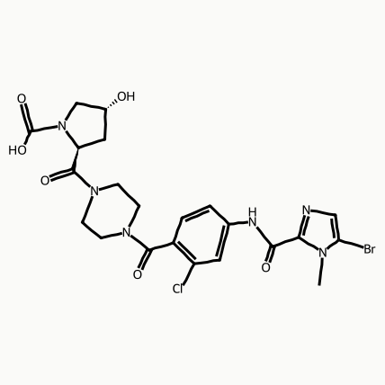 Cn1c(Br)cnc1C(=O)Nc1ccc(C(=O)N2CCN(C(=O)[C@@H]3C[C@@H](O)CN3C(=O)O)CC2)c(Cl)c1